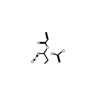 C=C(Cl)Cl.C=CC(=O)OC(CC)N=C=O